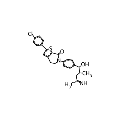 CC(=N)CC(C)C(O)c1ccc(N2CCc3cc(-c4ccc(Cl)cc4)sc3C2=O)cc1